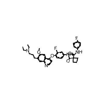 CCN(CC)CCCc1cc2nccc(Oc3ccc(NC(=O)C4(C(=O)Nc5ccc(F)cc5)CCC4)cc3F)c2cc1OC